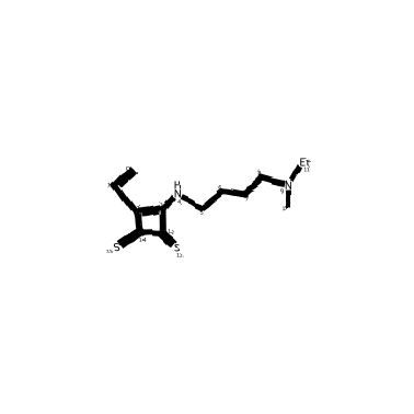 C=Cc1c(NCCCCN(C)CC)c(=S)c1=S